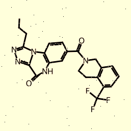 CCCc1nnc2c(=O)[nH]c3cc(C(=O)N4CCc5c(cccc5C(F)(F)F)C4)ccc3n12